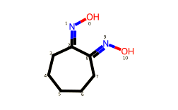 O/N=C1/CCCCC/C1=N\O